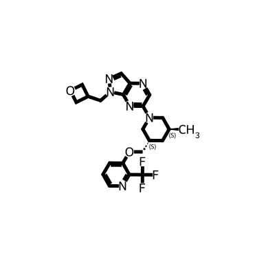 C[C@H]1C[C@H](COc2cccnc2C(F)(F)F)CN(c2cnc3cnn(CC4COC4)c3n2)C1